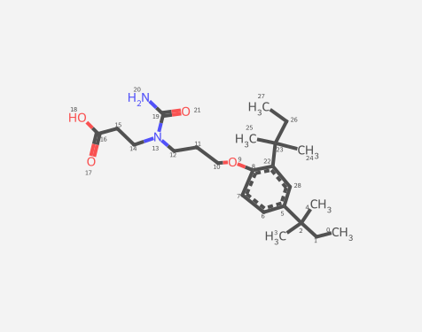 CCC(C)(C)c1ccc(OCCCN(CCC(=O)O)C(N)=O)c(C(C)(C)CC)c1